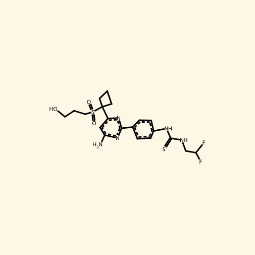 Nc1cc(C2(S(=O)(=O)CCCO)CCC2)nc(-c2ccc(NC(=S)NCC(F)F)cc2)n1